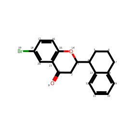 O=C1CC(C2CCCc3ccccc32)Oc2ccc(Br)cc21